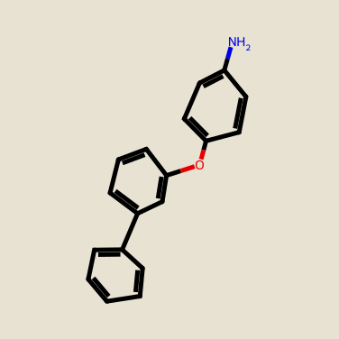 Nc1ccc(Oc2cccc(-c3ccccc3)c2)cc1